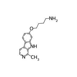 Cc1nccc2c1[nH]c1cc(OCCCCN)ccc12